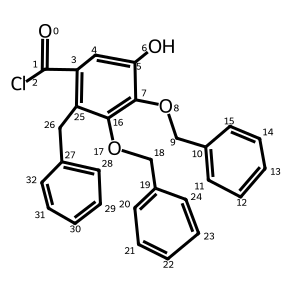 O=C(Cl)c1cc(O)c(OCc2ccccc2)c(OCc2ccccc2)c1Cc1ccccc1